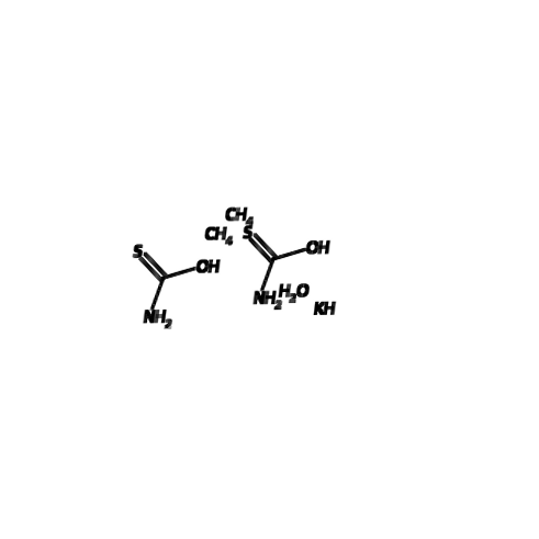 C.C.NC(O)=S.NC(O)=S.O.[KH]